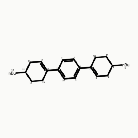 CCCCC1CC=C(c2ccc(C3=CCC(CCCC)CC3)cc2)CC1